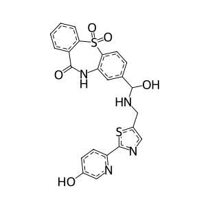 O=C1Nc2cc(C(O)NCc3cnc(-c4ccc(O)cn4)s3)ccc2S(=O)(=O)c2ccccc21